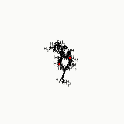 CCC(C)[C@H](NC(=O)[C@H](CCSC)NC=O)C(=O)N[C@@H](Cc1ccccc1)C(=O)N[C@H]1CC(C)N(CC[C@@H](O)[C@@H]2NC(=O)[C@H]([C@H](O)[C@@H](O)c3ccc(O)cc3)NC(=O)[C@@H]3C[C@@H](O)CN3C(=O)[C@H]([C@@H](C)O)NC(=O)[C@@H](NC(=O)CCCCCCCC[C@@H](C)C[C@@H](C)CC)C[C@@H](O)CNC(=O)[C@@H]3[C@@H](O)CCN3C2=O)C1=O